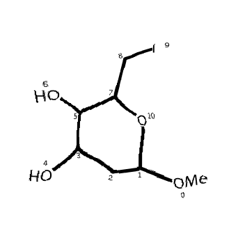 COC1CC(O)C(O)C(CI)O1